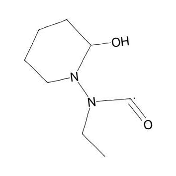 CCN([C]=O)N1CCCCC1O